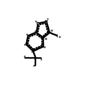 CC(C)(C)c1ccc2onc(I)c2c1